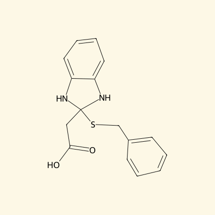 O=C(O)CC1(SCc2ccccc2)Nc2ccccc2N1